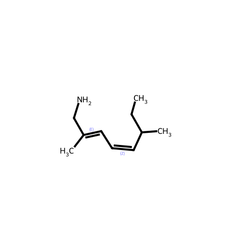 CCC(C)/C=C\C=C(/C)CN